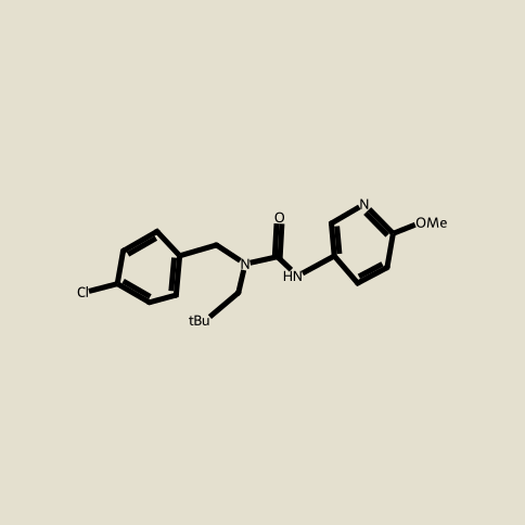 COc1ccc(NC(=O)N(Cc2ccc(Cl)cc2)CC(C)(C)C)cn1